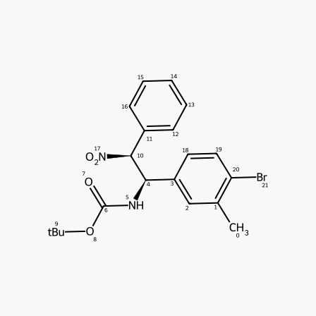 Cc1cc([C@@H](NC(=O)OC(C)(C)C)[C@H](c2ccccc2)[N+](=O)[O-])ccc1Br